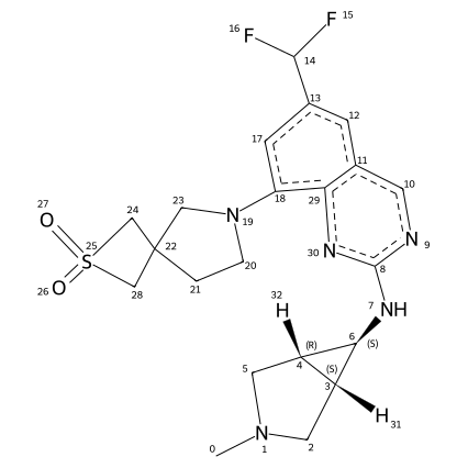 CN1C[C@@H]2[C@H](C1)[C@H]2Nc1ncc2cc(C(F)F)cc(N3CCC4(C3)CS(=O)(=O)C4)c2n1